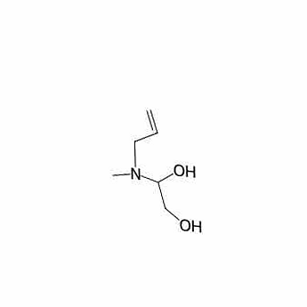 C=CCN(C)C(O)CO